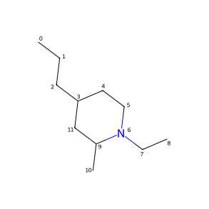 CCCC1CCN(CC)C(C)C1